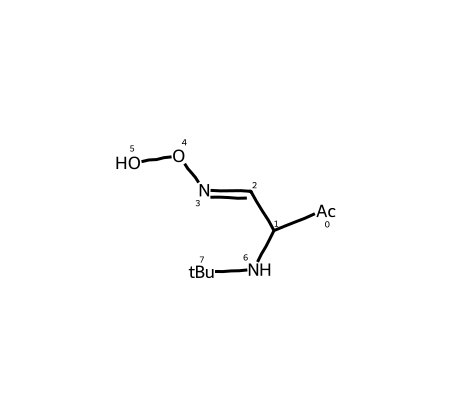 CC(=O)C(C=NOO)NC(C)(C)C